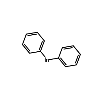 c1cc[c]([In][c]2ccccc2)cc1